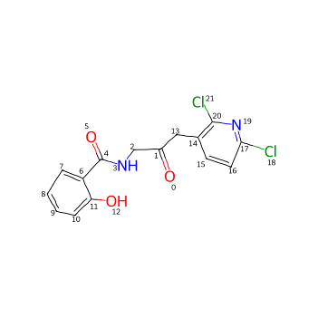 O=C(CNC(=O)c1ccccc1O)Cc1ccc(Cl)nc1Cl